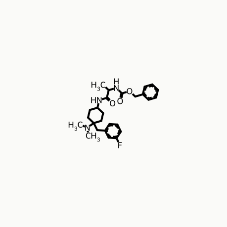 CC(NC(=O)OCc1ccccc1)C(=O)NC1CCC(Cc2cccc(F)c2)(N(C)C)CC1